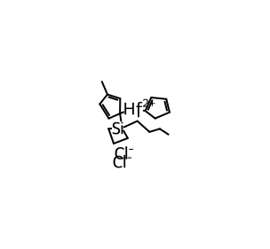 CCCC[Si]1([C]2([Hf+2][C]3=CC=CC3)C=CC(C)=C2)CCC1.[Cl-].[Cl-]